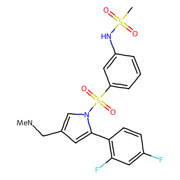 CNCc1cc(-c2ccc(F)cc2F)n(S(=O)(=O)c2cccc(NS(C)(=O)=O)c2)c1